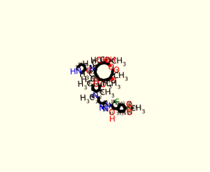 CC[C@H]1OC(=O)[C@H](C)C(=O)[C@H](C)[C@@H](O[C@@H]2O[C@H](C)C[C@H](N(C)CCc3cn([C@H](CF)[C@H](O)c4ccc(S(C)(=O)=O)cc4)nn3)[C@H]2C)[C@](C)(OC)C[C@@H](C)/C(=N\O[C@@H]2CCCNC2)[C@H](C)[C@@H](O)[C@]1(C)O